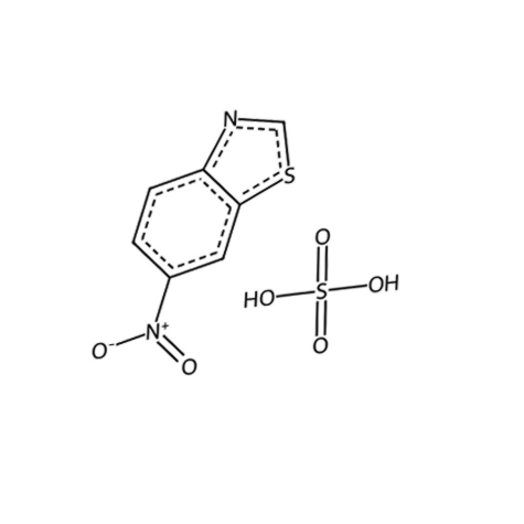 O=S(=O)(O)O.O=[N+]([O-])c1ccc2ncsc2c1